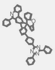 c1ccc(-c2nc(-c3ccccc3)nc(-c3ccc(-c4ccc5c(c4)C4(c6ccccc6Oc6ccccc64)c4cc6c(cc4-5)c(-c4ccccc4)nc4ccccc46)cc3)n2)cc1